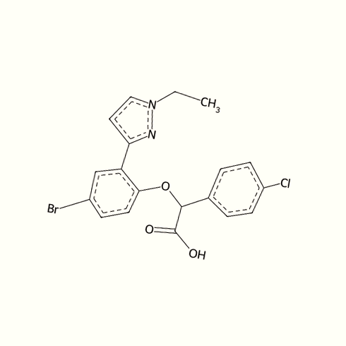 CCn1ccc(-c2cc(Br)ccc2OC(C(=O)O)c2ccc(Cl)cc2)n1